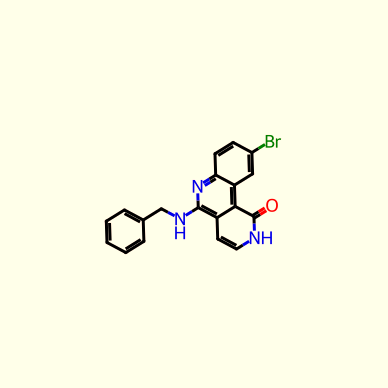 O=c1[nH]ccc2c(NCc3ccccc3)nc3ccc(Br)cc3c12